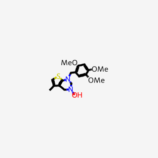 COc1cc(OC)c(OC)cc1CN1CN(O)Cc2c(C)csc21